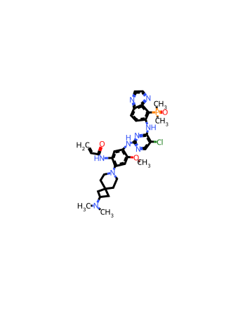 C=CC(=O)Nc1cc(Nc2ncc(Cl)c(Nc3ccc4nccnc4c3P(C)(C)=O)n2)c(OC)cc1N1CCC2(CC1)CC(N(C)C)C2